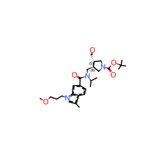 COCCCn1cc(C)c2ccc(C(=O)N(C[C@@H]3CN(C(=O)OC(C)(C)C)C[C@H]3C=O)C(C)C)cc21